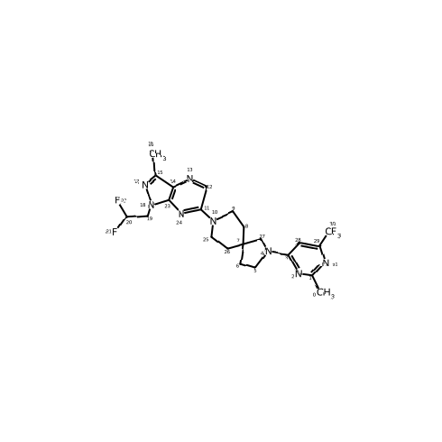 Cc1nc(N2CCC3(CCN(c4cnc5c(C)nn(CC(F)F)c5n4)CC3)C2)cc(C(F)(F)F)n1